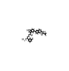 C[C@H](CCCC(=O)c1c[nH]c2ccc(-c3ccc4nc(NC(=O)C5CC5)ncc4c3)cc12)c1cccc(F)c1